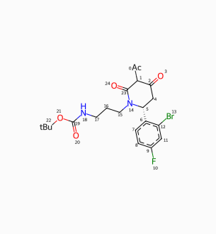 CC(=O)C1C(=O)C[C@H](c2ccc(F)cc2Br)N(CCCNC(=O)OC(C)(C)C)C1=O